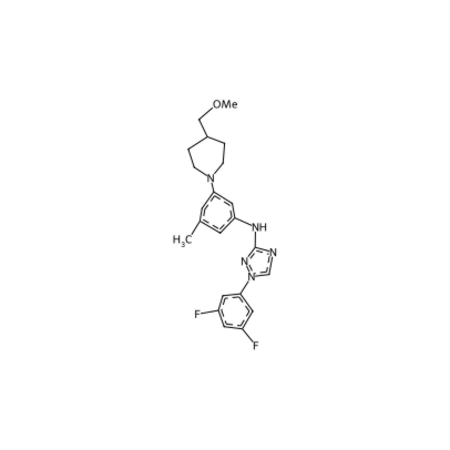 COCC1CCN(c2cc(C)cc(Nc3ncn(-c4cc(F)cc(F)c4)n3)c2)CC1